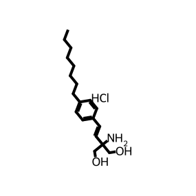 CCCCCCCCc1ccc(C=CC(N)(CO)CO)cc1.Cl